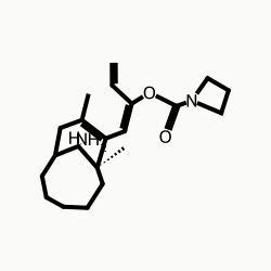 C=C/C(=C\C1=C(C)CC2CCCCC[C@@]1(C)[C@H]2N)OC(=O)N1CCC1